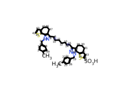 Cc1ccc(Cn2nc(/C=C/CCC/C=C/c3nn(Cc4ccc(C)cc4)c4c3CCCc3cc(S(=O)(=O)O)sc3-4)c3c2-c2sccc2CCC3)cc1